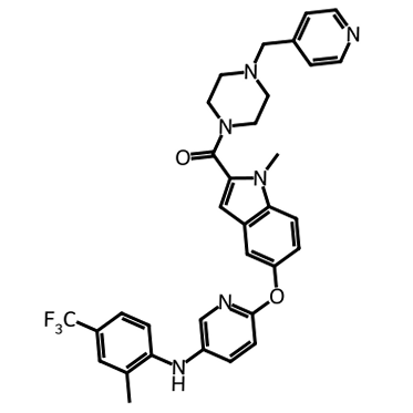 Cc1cc(C(F)(F)F)ccc1Nc1ccc(Oc2ccc3c(c2)cc(C(=O)N2CCN(Cc4ccncc4)CC2)n3C)nc1